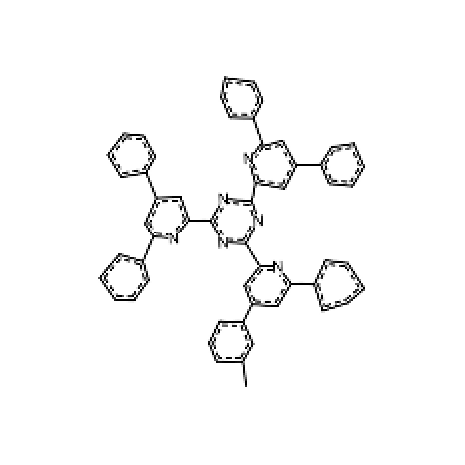 Cc1cccc(-c2cc(-c3ccccc3)nc(-c3nc(-c4cc(-c5ccccc5)cc(-c5ccccc5)n4)nc(-c4cc(-c5ccccc5)cc(-c5ccccc5)n4)n3)c2)c1